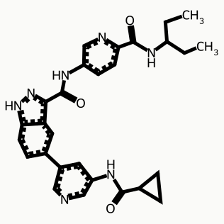 CCC(CC)NC(=O)c1ccc(NC(=O)c2n[nH]c3ccc(-c4cncc(NC(=O)C5CC5)c4)cc23)cn1